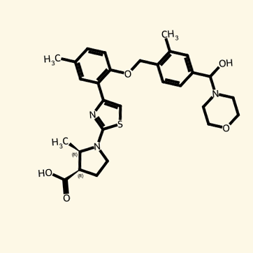 Cc1ccc(OCc2ccc(C(O)N3CCOCC3)cc2C)c(-c2csc(N3CC[C@@H](C(=O)O)[C@H]3C)n2)c1